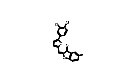 Cc1ccc2c(c1)C(=O)C(=Cc1ccc(-c3ccc(Cl)c(Cl)c3)o1)O2